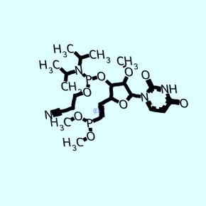 COC1C(OP(OCCC#N)N(C(C)C)C(C)C)C(/C=C/P(OC)OC)OC1n1ccc(=O)[nH]c1=O